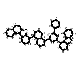 c1ccc(-c2nc(-c3cccc4c(-c5cccc6c5oc5ccc7ccccc7c56)cccc34)nc(-c3cccc4oc5ccccc5c34)n2)cc1